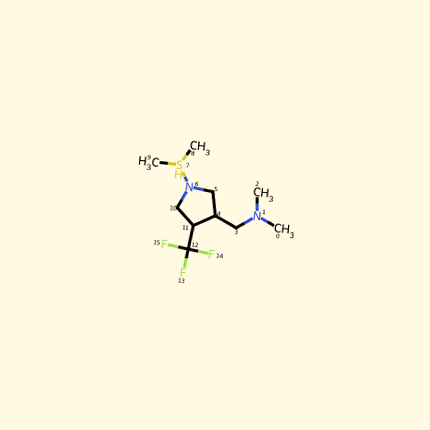 CN(C)CC1CN([SH](C)C)CC1C(F)(F)F